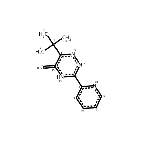 CC(C)(C)c1nnc(-c2ccccn2)[nH]c1=O